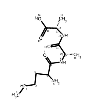 CPCCC(N)C(=O)N[C@@H](C)C(=O)N[C@@H](C)C(=O)O